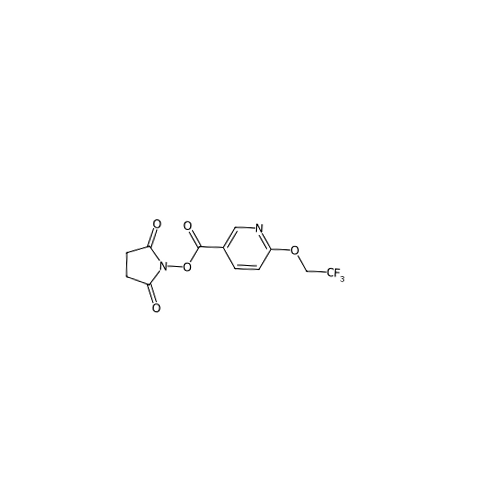 O=C(ON1C(=O)CCC1=O)c1ccc(OCC(F)(F)F)nc1